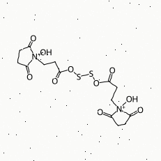 O=C(CC[N+]1(O)C(=O)CCC1=O)OSSOC(=O)CC[N+]1(O)C(=O)CCC1=O